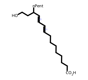 CCCCCC(/C=C/C=C/CCCCCCCC(=O)O)CCO